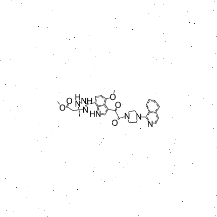 COC(=O)CC1(C)N=C(c2ccc(OC)c3c(C(=O)C(=O)N4CCN(c5nccc6ccccc56)CC4)c[nH]c23)NN1